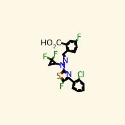 O=C(O)c1cc(F)ccc1/C=N/N(c1nc(-c2ccccc2Cl)c(F)s1)C1CC1(F)F